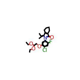 CCOC(COc1cc(N2C(=O)C3=C(CCCC3)C2=C(C)C)c(F)cc1Cl)OCC